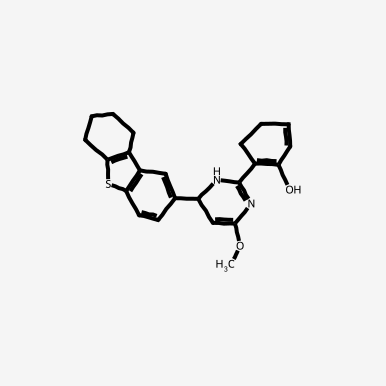 COC1=CC(c2ccc3sc4c(c3c2)CCCC4)NC(C2=C(O)C=CCC2)=N1